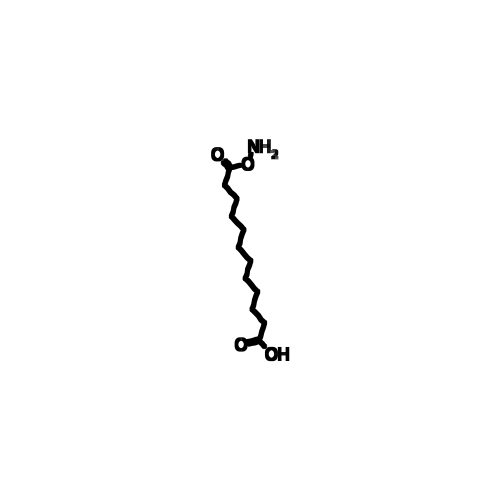 NOC(=O)CCCCCCCCCCC(=O)O